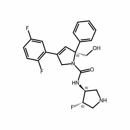 O=C(N[C@H]1CNC[C@@H]1F)N1CC(c2cc(F)ccc2F)=C[C@@]1(CO)c1ccccc1